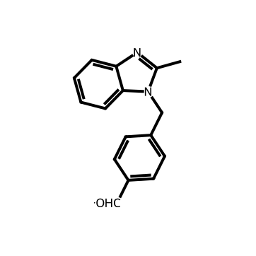 Cc1nc2ccccc2n1Cc1ccc([C]=O)cc1